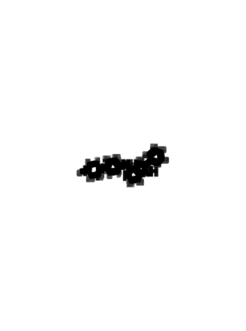 CN1CCN(c2ccc(Nc3nccc4[nH]c(-c5ccccc5)cc34)cc2)CC1